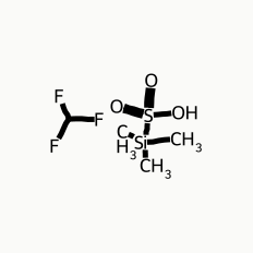 C[Si](C)(C)S(=O)(=O)O.FC(F)F